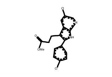 COC(=O)CCc1c(-c2ccc(Cl)cc2)[nH]c2ncc(Cl)cc12